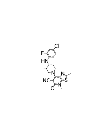 Cc1nc2c(N3CC[C@@H](Nc4ccc(Cl)cc4F)[C@@H](C)C3)c(C#N)c(=O)n(C)c2s1